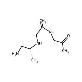 C=C(CN[C@H](C)CN)NCC(C)=O